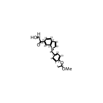 COC(C)Oc1ccc(Cn2ccc3ccc(C(=O)NO)cc32)cc1